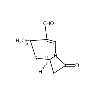 C[C@H]1S[C@@H]2CC(=O)N2C=C1C=O